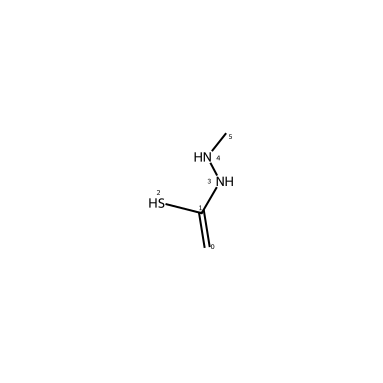 C=C(S)NNC